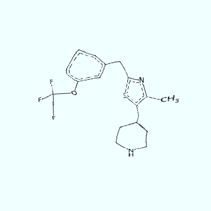 Cc1nc(Cc2cccc(OC(F)(F)F)c2)sc1C1CCNCC1